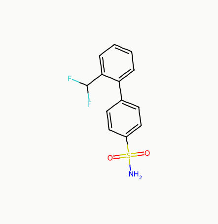 NS(=O)(=O)c1ccc(-c2ccccc2C(F)F)cc1